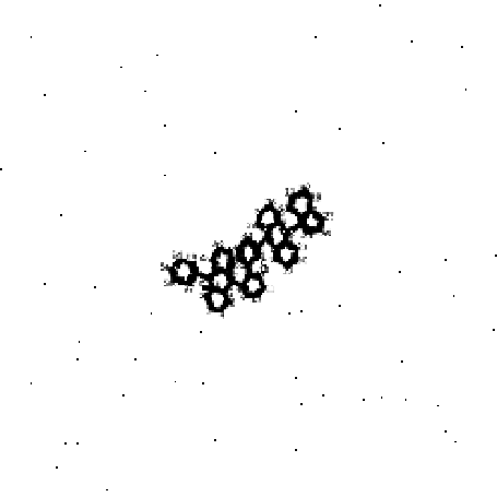 CC12C=CC=CC1C(c1cccc3sc4c(-c5c6ccccc6c(-c6cccc7ccccc67)c6ccccc56)cccc4c13)=c1ccccc1=C2c1ccccc1